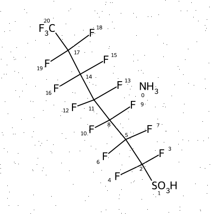 N.O=S(=O)(O)C(F)(F)C(F)(F)C(F)(F)C(F)(F)C(F)(F)C(F)(F)C(F)(F)F